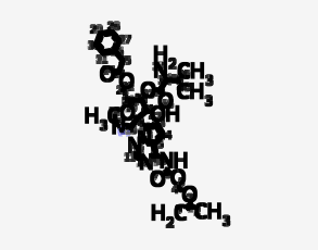 C=C(C)OCOC(=O)Nc1ncnn2c([C@]3(/C=N\C)O[C@H](COC(=O)Cc4ccccc4)[C@@H](OC(=O)[C@@H](N)C(C)C)[C@H]3O)ccc12